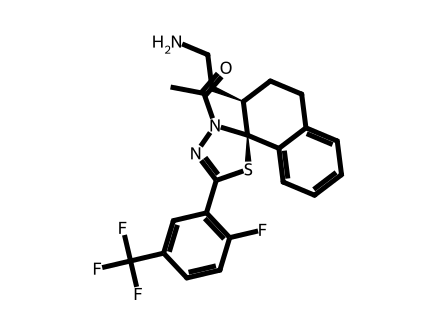 CC(=O)N1N=C(c2cc(C(F)(F)F)ccc2F)S[C@@]12c1ccccc1CC[C@@H]2CCN